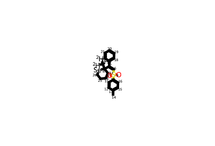 [2H]C([2H])([2H])C1(C(=CS(=O)(=O)c2ccc(C)cc2)c2ccccc2)CCCC[Se]1